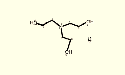 OCCN(CCO)CCO.[Li]